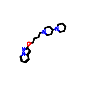 c1ccn2nc(OCCCCN3CCC(N4CCCCC4)CC3)cc2c1